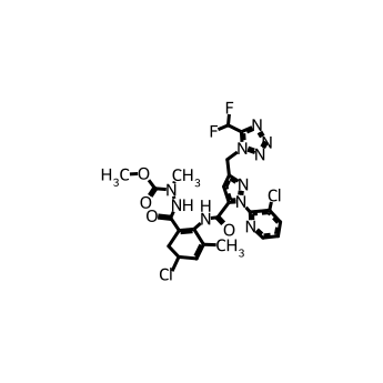 COC(=O)N(C)NC(=O)C1=C(NC(=O)c2cc(Cn3nnnc3C(F)F)nn2-c2ncccc2Cl)C(C)=CC(Cl)C1